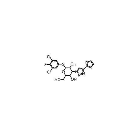 OCC1OC(Sc2cc(Cl)c(F)c(Cl)c2)C(O)C(n2cc(-c3nccs3)nn2)C1O